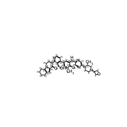 C[C@H]1CN(C2COC2)CCN1c1cnc(Nc2cc(-c3ccnc(N4CCn5c(cc6c5CCCC6)C4=O)c3CO)cn(C)c2=O)cn1